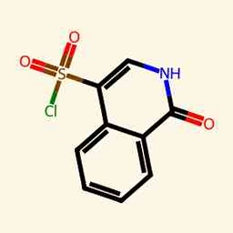 O=c1[nH]cc(S(=O)(=O)Cl)c2ccccc12